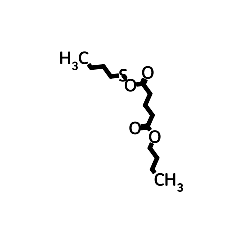 CCCCOC(=O)CCCC(=O)OSCCCC